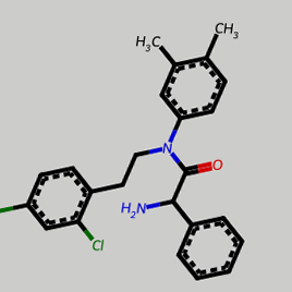 Cc1ccc(N(CCc2ccc(Cl)cc2Cl)C(=O)C(N)c2ccccc2)cc1C